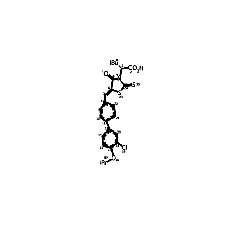 CC[C@@H](C)[C@@H](C(=O)O)N1C(=O)C(=Cc2ccc(-c3ccc(OC(C)C)c(Cl)c3)cc2)SC1=S